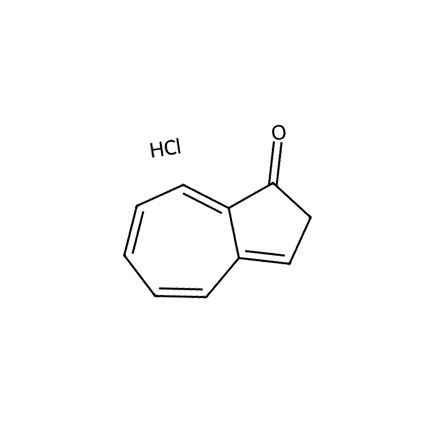 Cl.O=C1CC=C2C=CC=CC=C12